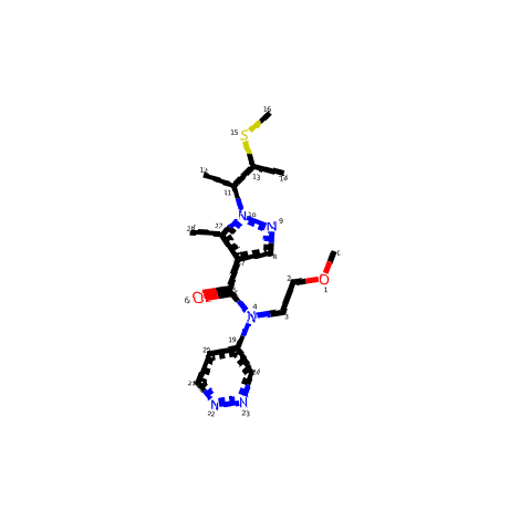 COCCN(C(=O)c1cnn(C(C)C(C)SC)c1C)c1ccnnc1